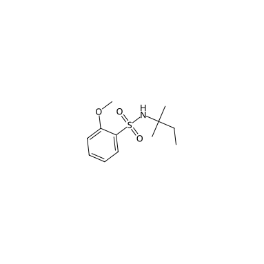 CCC(C)(C)NS(=O)(=O)c1ccccc1OC